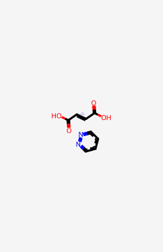 O=C(O)/C=C/C(=O)O.c1ccnnc1